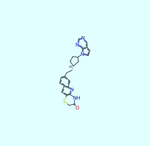 O=C1CSc2cc3ccc(CC[C@@H]4CCC(n5ccc6cncnc65)C4)cc3nc2N1